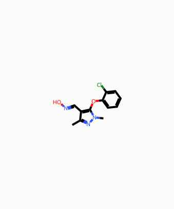 Cc1nn(C)c(Oc2ccccc2Cl)c1C=NO